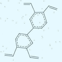 C=Cc1ccc(-c2ccc(C=C)c(C=C)c2)cc1C=C